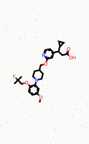 COc1ccc(OCC(C)(C)F)c(N2CCC(COc3cc(C(CC(=O)O)C4CC4)ccn3)CC2)c1